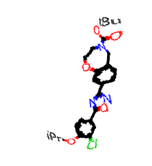 CC(C)Oc1ccc(-c2nc(-c3ccc4c(c3)OCCN(C(=O)OC(C)(C)C)C4)no2)cc1Cl